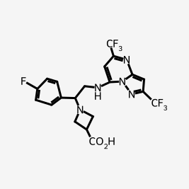 O=C(O)C1CN(C(CNc2cc(C(F)(F)F)nc3cc(C(F)(F)F)nn23)c2ccc(F)cc2)C1